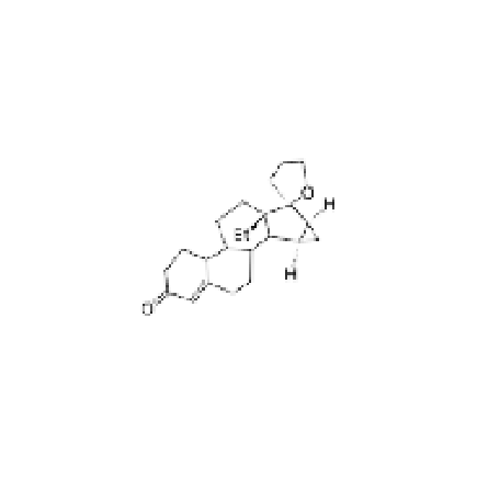 CC[C@]12CCC3C4CCC(=O)C=C4CCC3C1[C@@H]1C[C@@H]1[C@@]21CCCO1